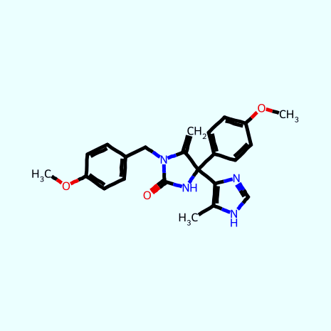 C=C1N(Cc2ccc(OC)cc2)C(=O)NC1(c1ccc(OC)cc1)c1nc[nH]c1C